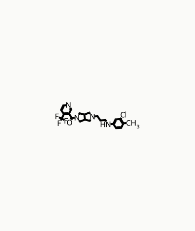 Cc1ccc(NCCCN2CC3CN(C(=O)c4cnccc4C(F)(F)F)CC3C2)cc1Cl